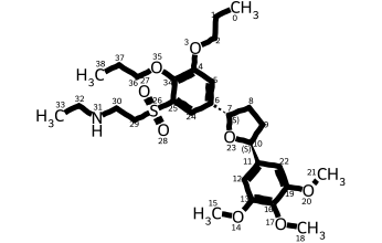 CCCOc1cc([C@@H]2CC[C@@H](c3cc(OC)c(OC)c(OC)c3)O2)cc(S(=O)(=O)CCNCC)c1OCCC